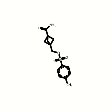 Cc1ccc(S(=O)(=O)OCC23CC(C(N)=O)(C2)C3)cc1